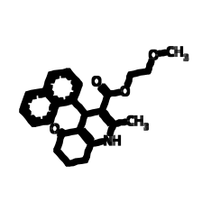 COCCOC(=O)C1=C(C)NC2=C(C(=O)CCC2)C1c1cccc2ccccc12